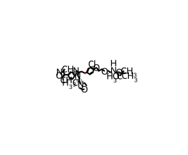 Cc1noc(C)c1-c1ccc2c(c1)nc(CCc1ccc(OCCOCCNC(=O)OC(C)(C)C)c(Cl)c1)n2C[C@H](C)N1CCOCC1